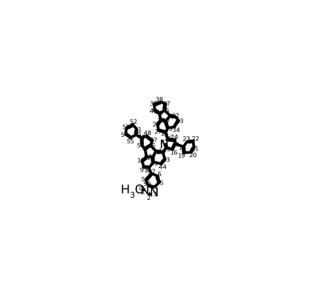 Cn1cnc2ccc(-c3ccc4c5c(c(-c6cc(-c7ccccc7)cc(-c7ccc8c9c(cccc79)-c7ccccc7-8)n6)ccc35)-c3ccc(-c5ccccc5)cc3-4)cc21